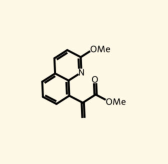 C=C(C(=O)OC)c1cccc2ccc(OC)nc12